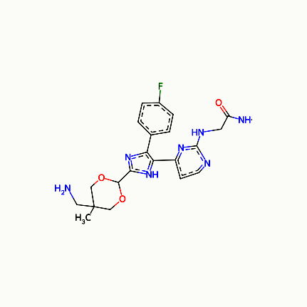 CC1(CN)COC(c2nc(-c3ccc(F)cc3)c(-c3ccnc(NCC([NH])=O)n3)[nH]2)OC1